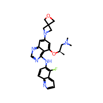 C[C@H](CN(C)C)Oc1cc(N2CC3(COC3)C2)cc2ncnc(Nc3ccc4ncccc4c3F)c12